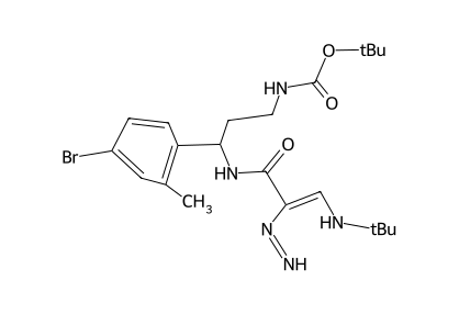 Cc1cc(Br)ccc1C(CCNC(=O)OC(C)(C)C)NC(=O)/C(=C/NC(C)(C)C)N=N